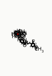 COc1ccc(CCn2cnc3cc(N=C(N[C@H]4C[C@H]5C[C@H]([C@H]4C)C5(C)C)N4CCN5CCC[C@H]5C4)ccc3c2=O)c(F)c1